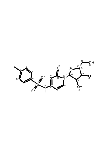 Cc1ccc(S(=O)(=O)Nc2ccn([C@@H]3O[C@H](CO)C(O)C3O)c(=O)n2)cc1